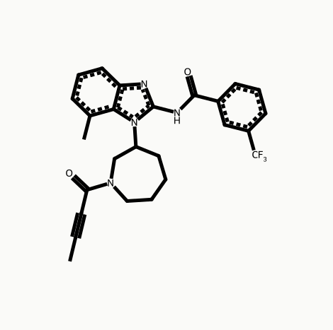 CC#CC(=O)N1CCCCC(n2c(NC(=O)c3cccc(C(F)(F)F)c3)nc3cccc(C)c32)C1